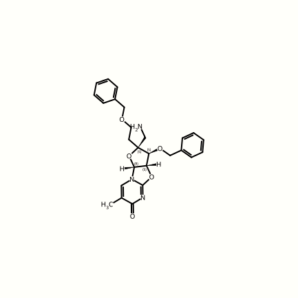 Cc1cn2c(nc1=O)O[C@@H]1[C@H]2O[C@](CN)(CCOCc2ccccc2)[C@H]1OCc1ccccc1